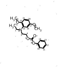 CCN(CCOC(=O)Oc1ccccc1)c1cc(OC)ccc1OC